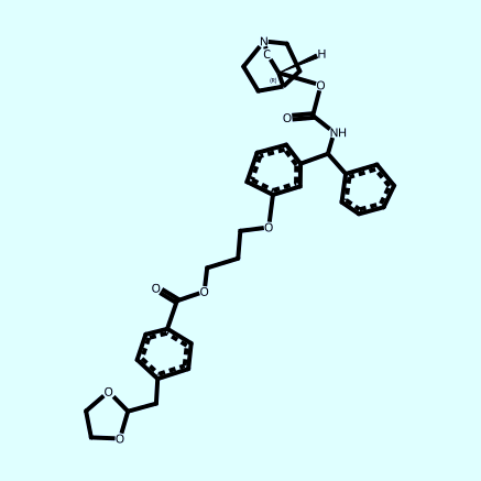 O=C(NC(c1ccccc1)c1cccc(OCCCOC(=O)c2ccc(CC3OCCO3)cc2)c1)O[C@H]1CN2CCC1CC2